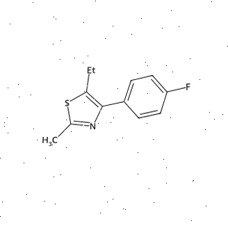 CCc1sc(C)nc1-c1ccc(F)cc1